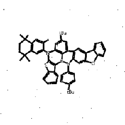 Cc1cc2c(cc1N1c3cc(C(C)(C)C)cc4c3B(c3c1sc1ccccc31)N(c1ccc(C(C)(C)C)cc1)c1cc3oc5ccccc5c3cc1-4)C(C)(C)CCC2(C)C